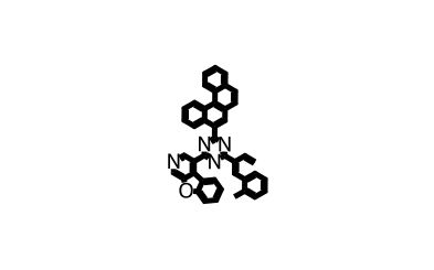 C=C/C(=C\c1ccccc1C)c1nc(-c2cc3ccc4ccccc4c3c3ccccc23)nc(-c2cncc3oc4ccccc4c23)n1